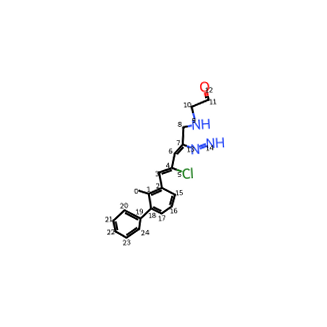 Cc1c(/C=C(Cl)/C=C(/CNCC=O)N=N)cccc1-c1ccccc1